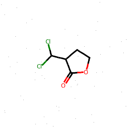 O=C1OCCC1C(Cl)Cl